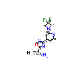 C[C@H](N)c1nc(-c2ccnc(N3CC(F)(F)C3)c2)no1